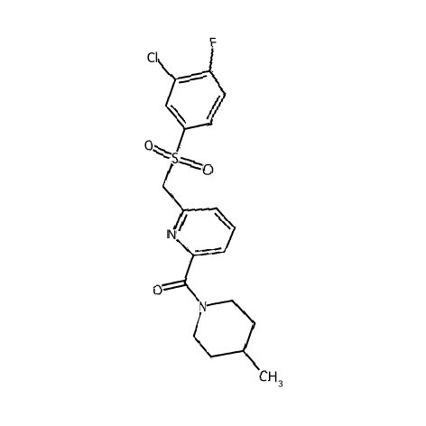 CC1CCN(C(=O)c2cccc(CS(=O)(=O)c3ccc(F)c(Cl)c3)n2)CC1